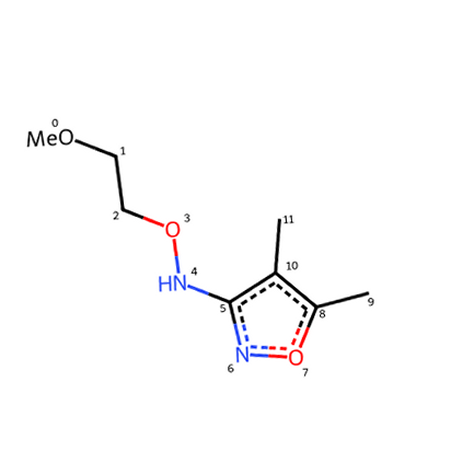 COCCONc1noc(C)c1C